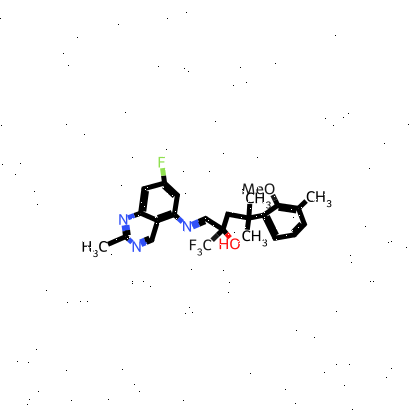 COc1c(C)cccc1C(C)(C)CC(O)(C=Nc1cc(F)cc2nc(C)ncc12)C(F)(F)F